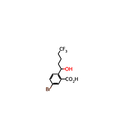 O=C(O)c1cc(Br)ccc1C(O)CCCC(F)(F)F